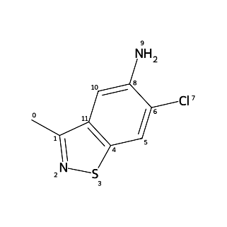 Cc1nsc2cc(Cl)c(N)cc12